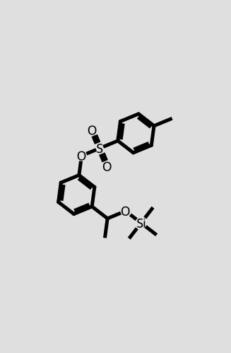 Cc1ccc(S(=O)(=O)Oc2cccc(C(C)O[Si](C)(C)C)c2)cc1